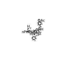 C=C(CCC(=O)N[C@@H](Cc1ccccc1)C(=O)N1CCC[C@H]1C(=O)NCCc1ccc(OC(C)=O)cc1)NCCC